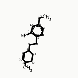 CCc1ccc(CCC2C=CC(C)CC2)c(F)c1